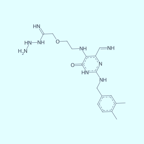 Cc1ccc(CNc2nc(C=N)c(NCCOCC(=N)NNN)c(=O)[nH]2)cc1C